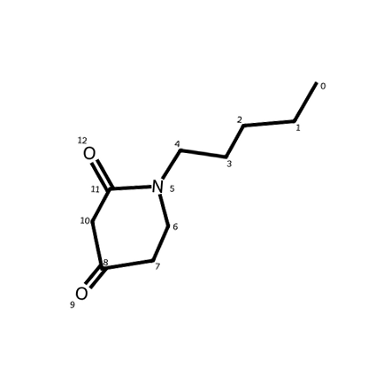 CCCCCN1CCC(=O)CC1=O